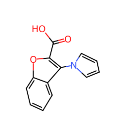 O=C(O)c1oc2ccccc2c1-n1cccc1